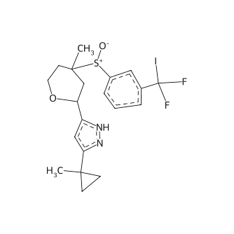 CC1(c2cc(C3CC(C)([S+]([O-])c4cccc(C(F)(F)I)c4)CCO3)[nH]n2)CC1